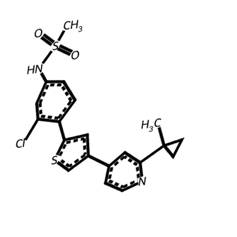 CC1(c2cc(-c3csc(-c4ccc(NS(C)(=O)=O)cc4Cl)c3)ccn2)CC1